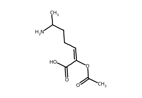 CC(=O)OC(=CCCC(C)N)C(=O)O